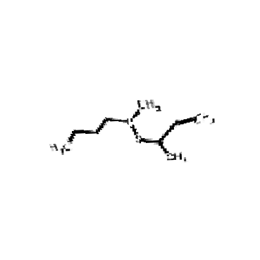 CCCCP(C)SC(C)CC